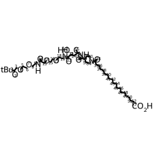 CC(C)(C)C(=O)COCCOCCNC(=O)COCCOCCNC(=O)CCC(NC(=O)C1CCN(C(=O)CCCCCCCCCCCCCCCCCCC(=O)O)CC1)C(=O)O